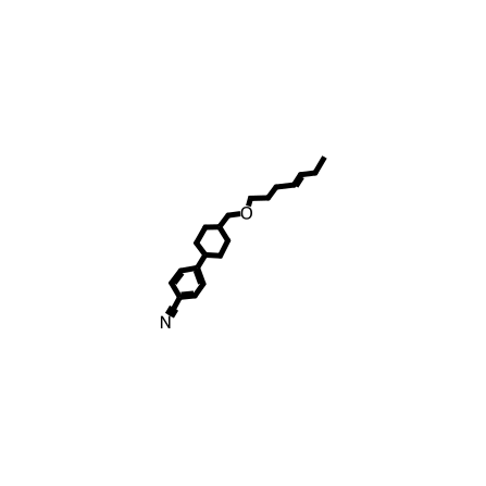 CC/C=C/CCCOCC1CCC(c2ccc(C#N)cc2)CC1